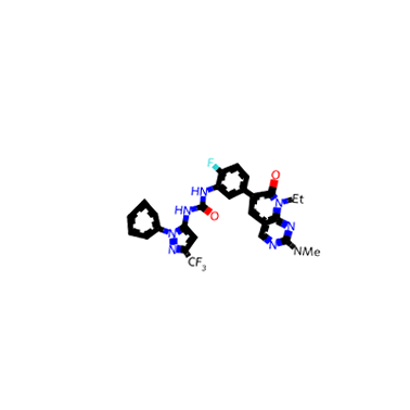 CCn1c(=O)c(-c2ccc(F)c(NC(=O)Nc3cc(C(F)(F)F)nn3-c3ccccc3)c2)cc2cnc(NC)nc21